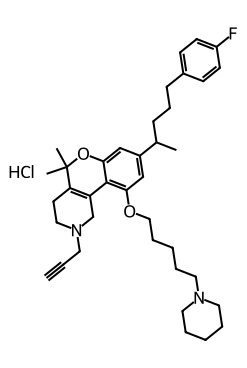 C#CCN1CCC2=C(C1)c1c(OCCCCCN3CCCCC3)cc(C(C)CCCc3ccc(F)cc3)cc1OC2(C)C.Cl